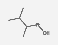 CC(C)C(C)[N]O